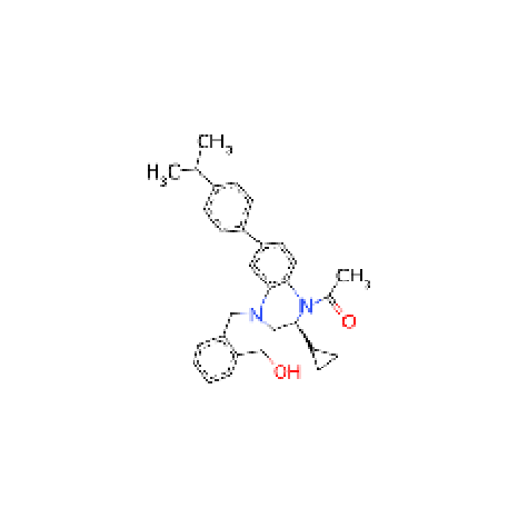 CC(=O)N1c2ccc(-c3ccc(C(C)C)cc3)cc2N(Cc2ccccc2CO)C[C@@H]1C1CC1